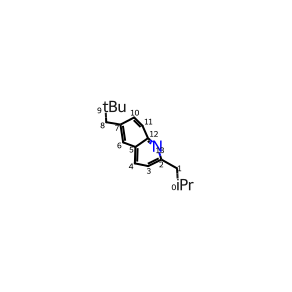 CC(C)Cc1ccc2cc(CC(C)(C)C)ccc2n1